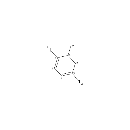 CC1CC(I)=CC=C1I